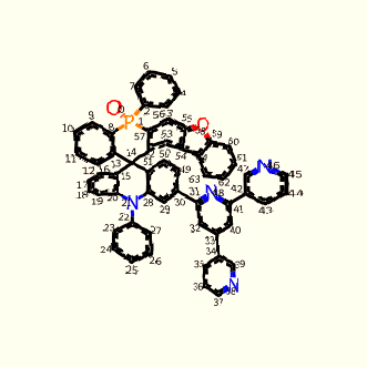 O=P1(c2ccccc2)c2ccccc2C2(c3ccccc3N(c3ccccc3)c3cc(-c4cc(-c5cccnc5)cc(-c5cccnc5)n4)ccc32)c2cc3c(cc21)oc1ccccc13